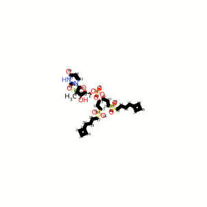 C[C@@]1(F)[C@H](O)[C@@H](COP(=O)(OCCCS(=O)(=O)CCCCC2CCC2)OCCCS(=O)(=O)CCCCC2CCC2)O[C@H]1n1ccc(=O)[nH]c1=O